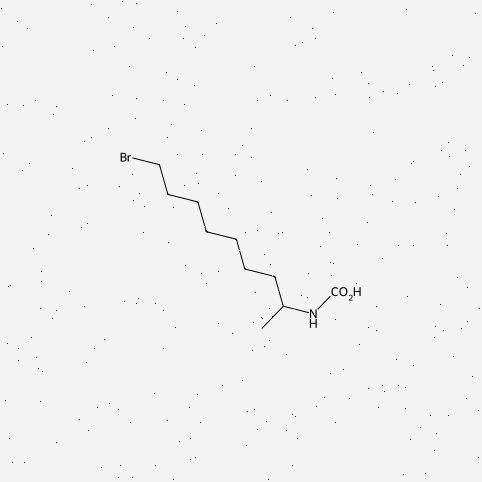 CC(CCCCCCCBr)NC(=O)O